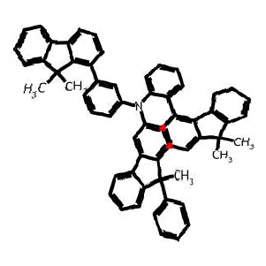 CC1(C)C2=C(CCC=C2)c2c(-c3ccccc3N(c3cccc(-c4cccc5c4C(C)(C)c4ccccc4-5)c3)c3ccc4c(c3)-c3ccccc3C4(C)c3ccccc3)cccc21